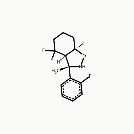 C[C@]1(c2ccccc2F)NO[C@@H]2CCCC(F)(F)[C@@H]21